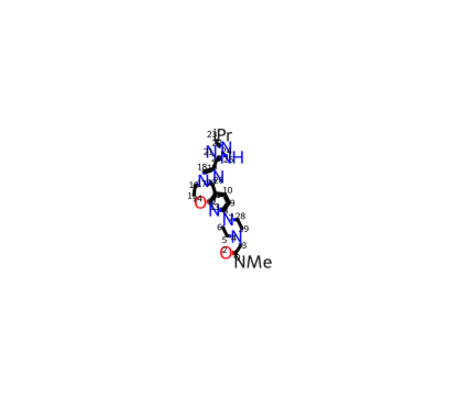 CNC(=O)CN1CCN(c2ccc3c(n2)OCCn2cc(-c4nc(C(C)C)n[nH]4)nc2-3)CC1